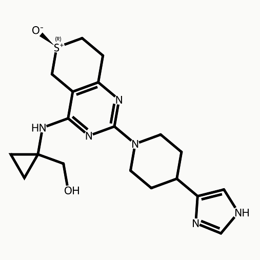 [O-][S@@+]1CCc2nc(N3CCC(c4c[nH]cn4)CC3)nc(NC3(CO)CC3)c2C1